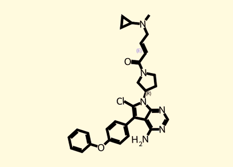 CN(C/C=C/C(=O)N1CC[C@@H](n2c(Cl)c(-c3ccc(Oc4ccccc4)cc3)c3c(N)ncnc32)C1)C1CC1